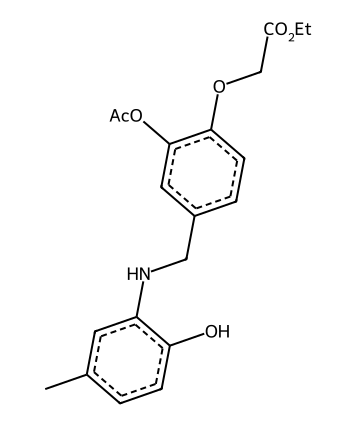 CCOC(=O)COc1ccc(CNc2cc(C)ccc2O)cc1OC(C)=O